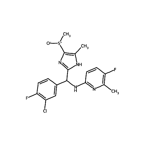 Cc1nc(NC(c2ccc(F)c(Cl)c2)c2nc([S+](C)[O-])c(C)[nH]2)ccc1F